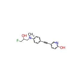 CN(CC(O)CF)c1ccc(C#Cc2ccc(O)nc2)cc1